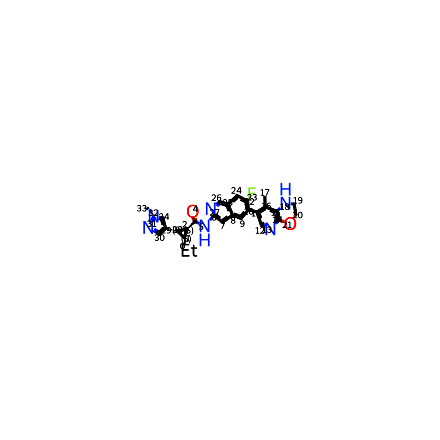 CC[C@@H]1[C@H](C(=O)Nc2cc3cc(-c4cnc5c(c4C)NCCO5)c(F)cc3cn2)[C@H]1c1cnn(C)c1